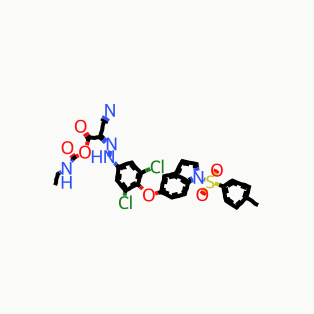 CCNC(=O)OC(=O)/C(C#N)=N\Nc1cc(Cl)c(Oc2ccc3c(ccn3S(=O)(=O)c3ccc(C)cc3)c2)c(Cl)c1